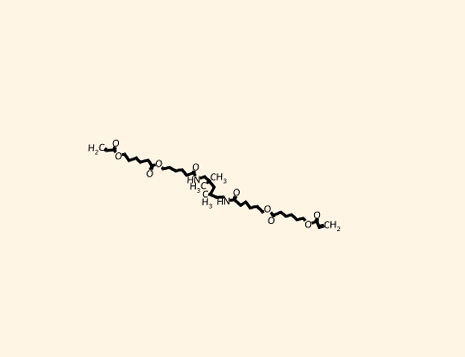 C=CC(=O)OCCCCCC(=O)OCCCCCC(=O)NCCC(C)CC(C)(C)CNC(=O)CCCCCOC(=O)CCCCCOC(=O)C=C